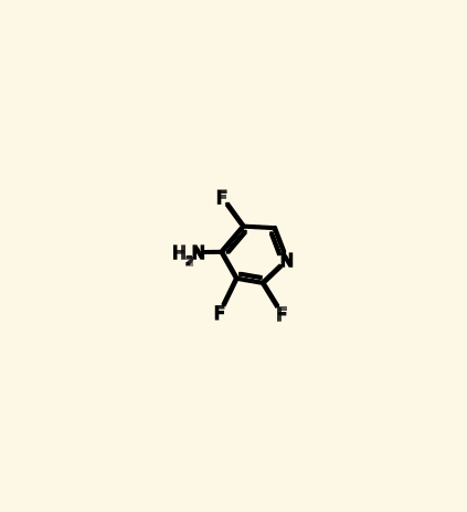 Nc1c(F)cnc(F)c1F